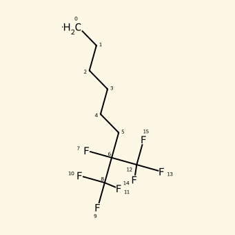 [CH2]CCCCCC(F)(C(F)(F)F)C(F)(F)F